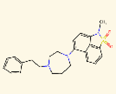 CN1c2ccc(N3CCCN(CCc4ccccc4)CC3)c3cccc(c23)S1(=O)=O